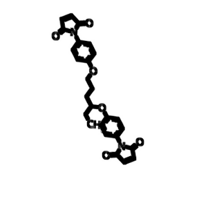 CCC(CCCOc1ccc(N2C(=O)C=CC2=O)cc1)Oc1ccc(N2C(=O)C=CC2=O)cc1